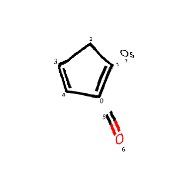 C1=CCC=C1.C=O.[Os]